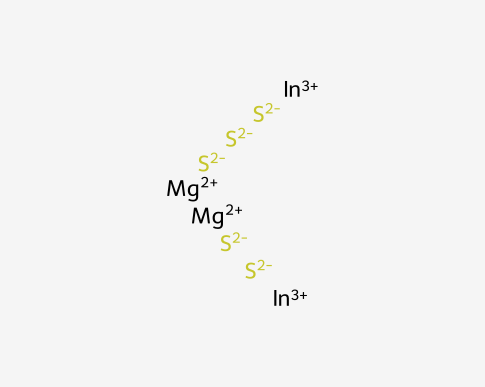 [In+3].[In+3].[Mg+2].[Mg+2].[S-2].[S-2].[S-2].[S-2].[S-2]